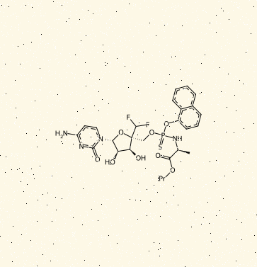 CC(C)OC(=O)[C@H](C)NP(=S)(OC[C@@]1(C(F)F)O[C@@H](n2ccc(N)nc2=O)[C@H](O)[C@@H]1O)Oc1cccc2ccccc12